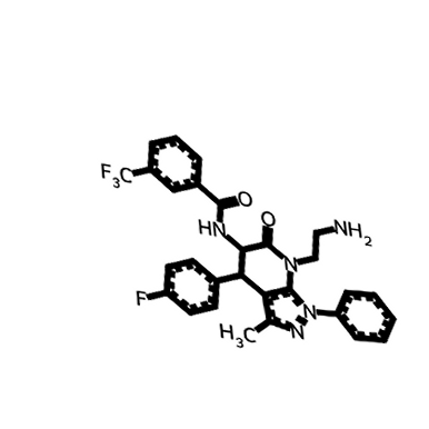 Cc1nn(-c2ccccc2)c2c1C(c1ccc(F)cc1)C(NC(=O)c1cccc(C(F)(F)F)c1)C(=O)N2CCN